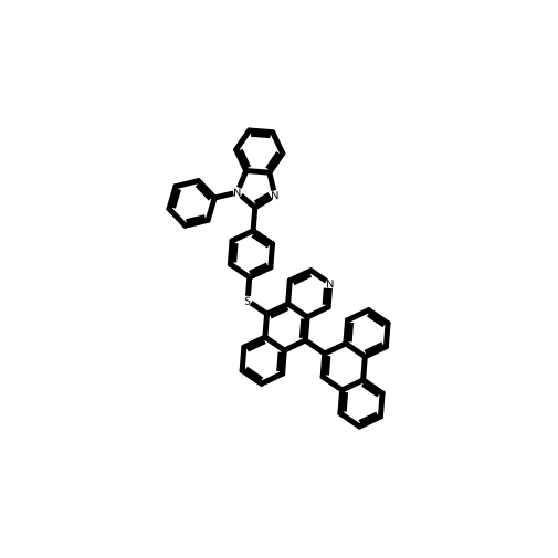 c1ccc(-n2c(-c3ccc(Sc4c5ccccc5c(-c5cc6ccccc6c6ccccc56)c5cnccc45)cc3)nc3ccccc32)cc1